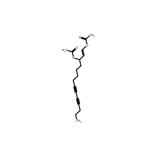 CCCC#CC#CCCCCC(C=COC(C)=O)OC(C)=O